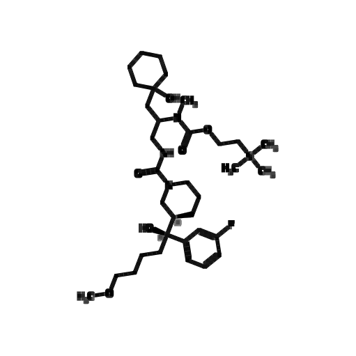 COCCCC[C@@](O)(c1cccc(F)c1)[C@@H]1CCCN(C(=O)NCC(CC2(O)CCCCC2)N(C)C(=O)OCC[Si](C)(C)C)C1